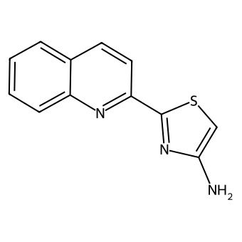 Nc1csc(-c2ccc3ccccc3n2)n1